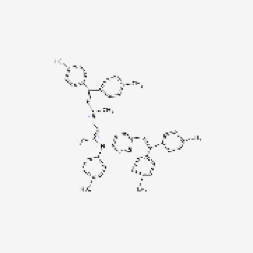 C/C(C=C(c1ccc(C)cc1)c1ccc(C)cc1)=C\C=C(/C)N(c1ccc(C)cc1)c1ccc(C=C(c2ccc(C)cc2)c2ccc(C)cc2)cc1